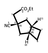 CCOC(=O)C[C@@]1(C#N)C[C@H]2CC[C@H]2C1